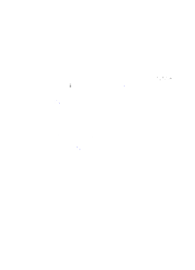 CNc1ccc(Nc2cc(NC(C)C)nc(-c3ccccc3)n2)cn1